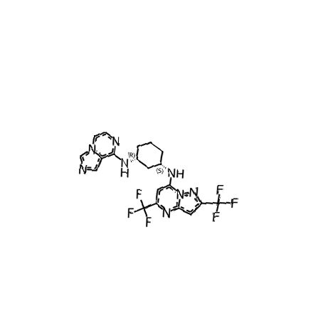 FC(F)(F)c1cc(N[C@H]2CCC[C@@H](Nc3nccn4cncc34)C2)n2nc(C(F)(F)F)cc2n1